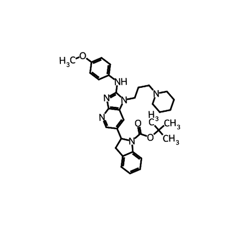 COc1ccc(Nc2nc3ncc(C4Cc5ccccc5N4C(=O)OC(C)(C)C)cc3n2CCCN2CCCCC2)cc1